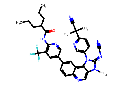 CCCC(CCC)C(=O)Nc1ncc(-c2ccc3ncc4c(c3c2)n(-c2ccc(C(C)(C)C#N)nc2)/c(=N\C#N)n4C)cc1C(F)(F)F